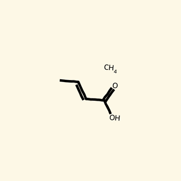 C.C/C=C/C(=O)O